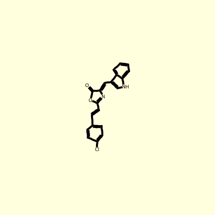 O=C1OC(C=Cc2ccc(Cl)cc2)=NC1=Cc1c[nH]c2ccccc12